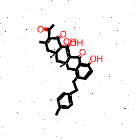 CC(=O)C1=C(C)C[C@@]2(C)C[C@@]3(C)Cc4c(CCc5ccc(C)cc5)ccc(O)c4C(=O)C3=C(O)[C@@]2(O)C1=O